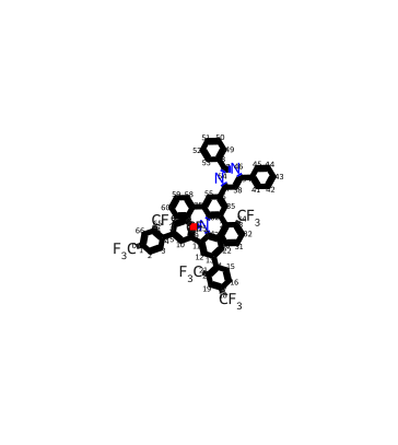 FC(F)(F)c1ccc(-c2ccc3c(c2)c2cc(-c4ccc(C(F)(F)F)cc4C(F)(F)F)ccc2n3-c2c(-c3ccccc3C(F)(F)F)cc(-c3cc(-c4ccccc4)nc(-c4ccccc4)n3)cc2-c2ccccc2C(F)(F)F)c(C(F)(F)F)c1